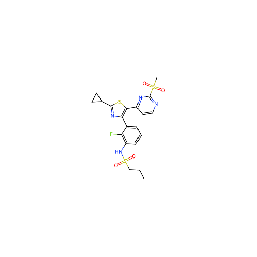 CCCS(=O)(=O)Nc1cccc(-c2nc(C3CC3)sc2-c2ccnc(S(C)(=O)=O)n2)c1F